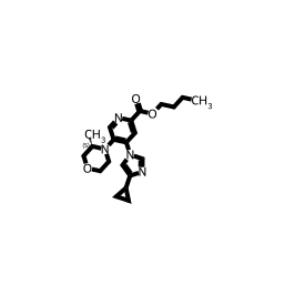 CCCCOC(=O)c1cc(-n2cnc(C3CC3)c2)c(N2CCOC[C@@H]2C)cn1